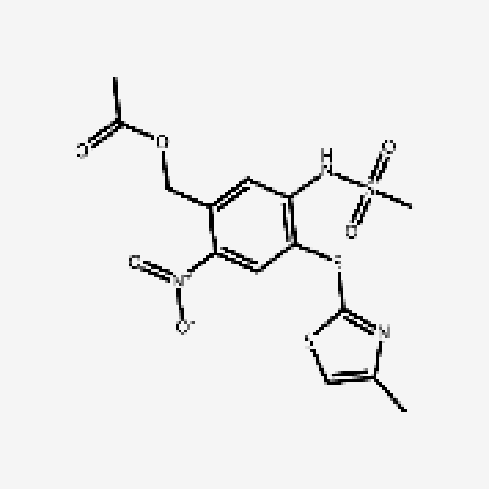 CC(=O)OCc1cc(NS(C)(=O)=O)c(Sc2nc(C)cs2)cc1[N+](=O)[O-]